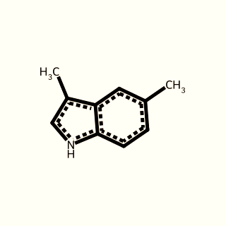 Cc1ccc2[nH]cc(C)c2c1